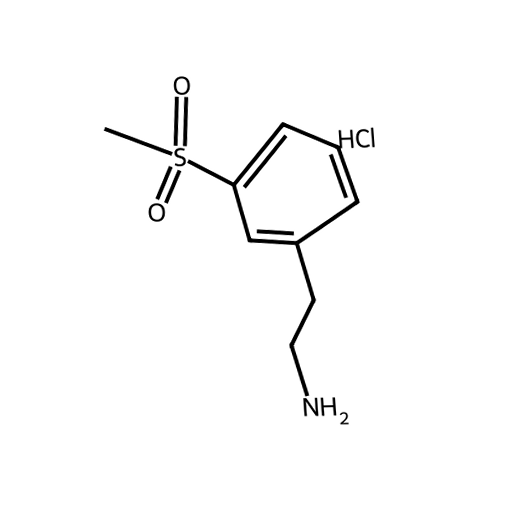 CS(=O)(=O)c1cccc(CCN)c1.Cl